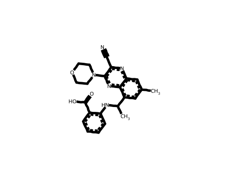 Cc1cc(C(C)Nc2ccccc2C(=O)O)c2nc(N3CCOCC3)c(C#N)nc2c1